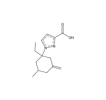 C=C1CC(C)CC(CC)(n2ccc(C(=O)O)n2)C1